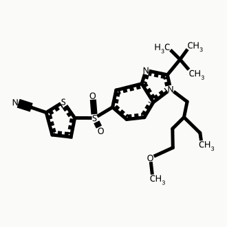 CCC(CCOC)Cn1c(C(C)(C)C)nc2cc(S(=O)(=O)c3ccc(C#N)s3)ccc21